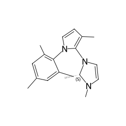 Cc1cc(C)c(-n2ccc(C)c2N2C=CN(C)[C@@H]2C)c(C)c1